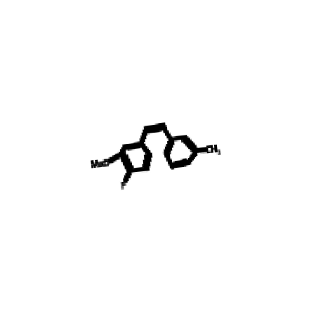 COc1cc(/C=C\c2cccc(C)c2)ccc1F